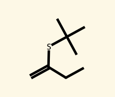 C=C(CC)SC(C)(C)C